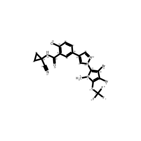 Cn1c(SC(F)(F)F)c(Br)c(Br)c1-n1cc(-c2ccc(Cl)c(C(=O)NC3(C#N)CC3)c2)cn1